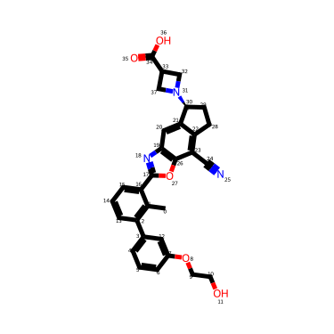 Cc1c(-c2cccc(OCCO)c2)cccc1-c1nc2cc3c(c(C#N)c2o1)CC[C@@H]3N1CC(C(=O)O)C1